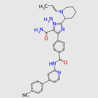 CC=CN1CCCCC1c1nc(-c2ccc(C(=O)Nc3cc(-c4ccc(C#N)cc4)ccn3)cc2)c(C(N)=O)n1N